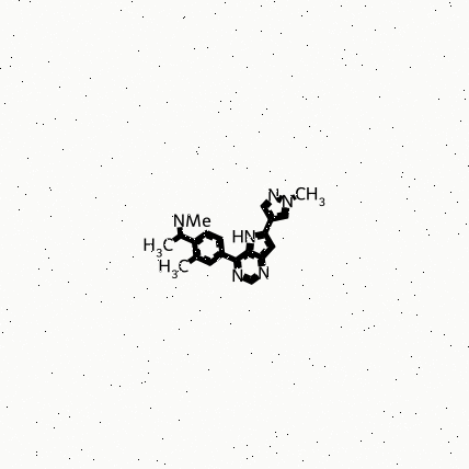 CNC(C)c1ccc(-c2ncnc3cc(-c4cnn(C)c4)[nH]c23)cc1C